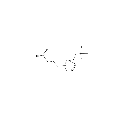 CC(F)(F)Cc1cccc(CCCC(=O)O)c1